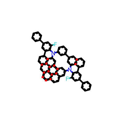 Fc1cc(-c2ccccc2)cc(-c2ccccc2)c1N(c1cccc(-c2cccc(N(c3cc4ccc5cccc6ccc(c3)c4c56)c3c(F)cc(-c4ccccc4)cc3-c3ccccc3)c2)c1)c1cc2ccc3cccc4ccc(c1)c2c34